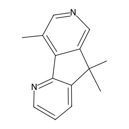 Cc1cncc2c1-c1ncccc1C2(C)C